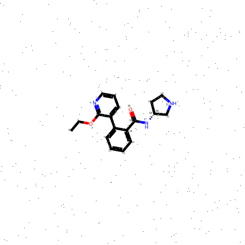 CCOc1ncccc1-c1ccccc1C(=O)N[C@@H]1CCNC1